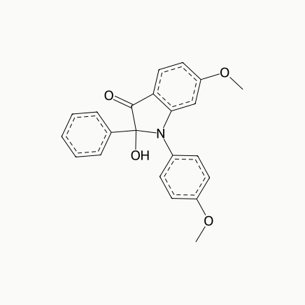 COc1ccc(N2c3cc(OC)ccc3C(=O)C2(O)c2ccccc2)cc1